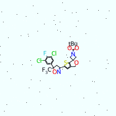 CC(C)(C)OC(=O)N1CC2(C1)OCc1cc(C3=NOC(c4cc(Cl)c(F)c(Cl)c4)(C(F)(F)F)C3)sc12